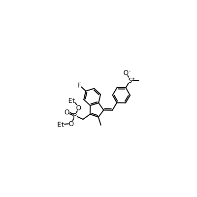 CCOP(=O)(CC1=C(C)/C(=C/c2ccc([S+](C)[O-])cc2)c2ccc(F)cc21)OCC